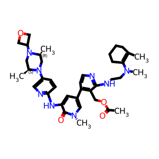 CC(=O)OCc1c(-c2cc(Nc3ccc(N4C[C@@H](C)N(C5COC5)C[C@@H]4C)cn3)c(=O)n(C)c2)ccnc1NCCN(C)C1=C(C)CCCC1